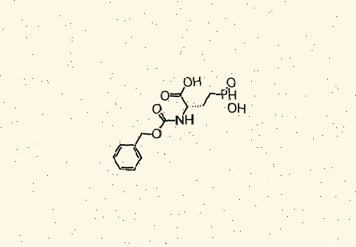 O=C(N[C@@H](CC[PH](=O)O)C(=O)O)OCc1ccccc1